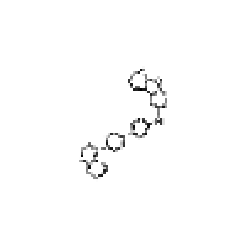 c1ccc2c(-c3ccc(-c4ccc(Nc5ccc6oc7ccccc7c6c5)cc4)cc3)cccc2c1